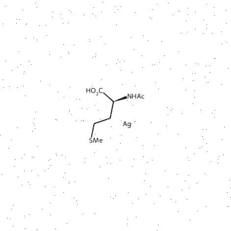 CSCC[C@H](NC(C)=O)C(=O)O.[Ag]